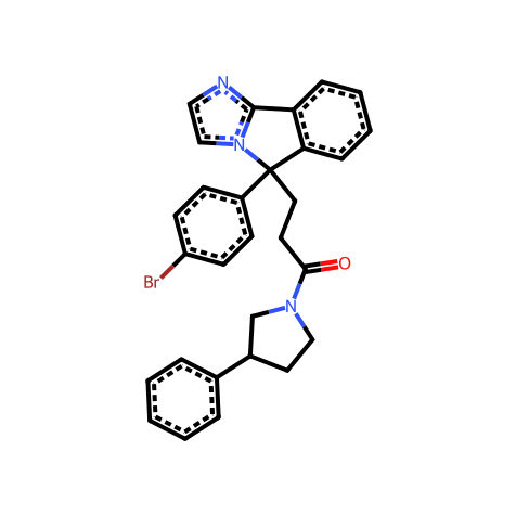 O=C(CCC1(c2ccc(Br)cc2)c2ccccc2-c2nccn21)N1CCC(c2ccccc2)C1